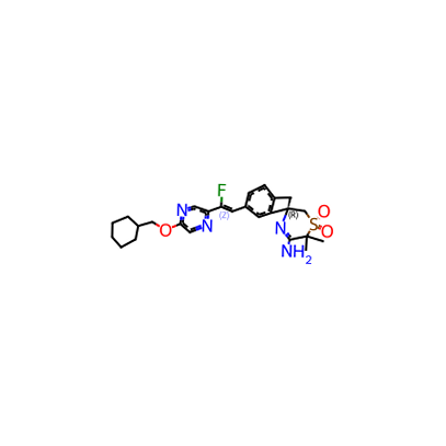 CC1(C)C(N)=N[C@@]2(Cc3ccc(/C=C(\F)c4cnc(OCC5CCCCC5)cn4)cc32)CS1(=O)=O